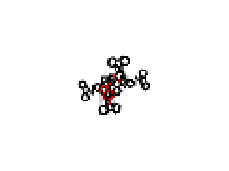 N#Cc1cccc(-n2c3ccc(-n4c5ccccc5c5ccccc54)cc3c3cc(-n4c5ccccc5c5ccccc54)ccc32)c1-c1c(-c2c(C(F)(F)F)cccc2C(F)(F)F)cccc1-n1c2ccc(-n3c4ccccc4c4ccccc43)cc2c2cc(-n3c4ccccc4c4ccccc43)ccc21